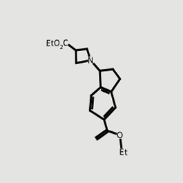 C=C(OCC)c1ccc2c(c1)CCC2N1CC(C(=O)OCC)C1